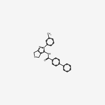 Cc1cccc(-n2nc3c(c2NC(=O)c2ccc(-c4ccccc4)cc2)CSC3)c1